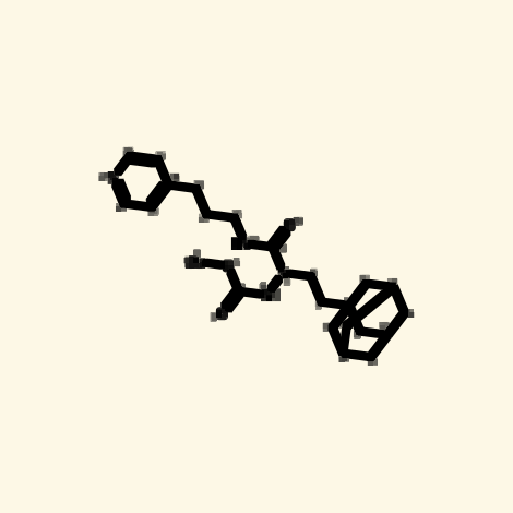 CC(C)(C)OC(=O)NN(CCC12CC3CC(CC(C3)C1)C2)C(=O)NCCCc1ccncc1